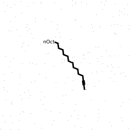 [CH2]C#CCCCCCCCCCCCCCCCCCCC